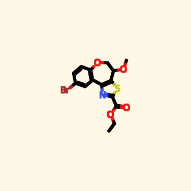 CCOC(=O)c1nc2c(s1)C(OC)COc1ccc(Br)cc1-2